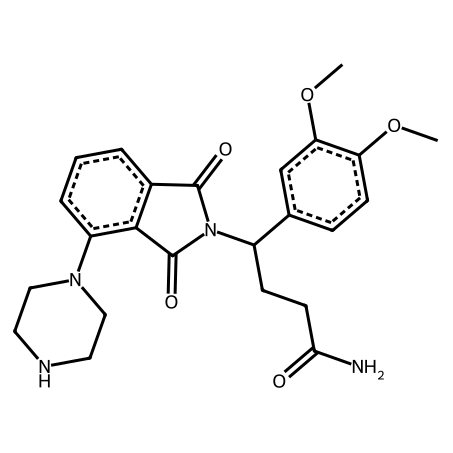 COc1ccc(C(CCC(N)=O)N2C(=O)c3cccc(N4CCNCC4)c3C2=O)cc1OC